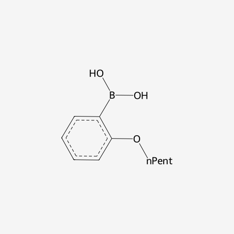 CCCCCOc1ccccc1B(O)O